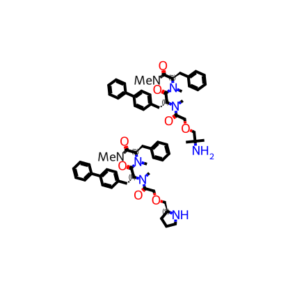 CNC(=O)[C@@H](Cc1ccccc1)N(C)C(=O)[C@@H](Cc1ccc(-c2ccccc2)cc1)N(C)C(=O)COCC(C)(C)N.CNC(=O)[C@@H](Cc1ccccc1)N(C)C(=O)[C@@H](Cc1ccc(-c2ccccc2)cc1)N(C)C(=O)COC[C@@H]1CCCN1